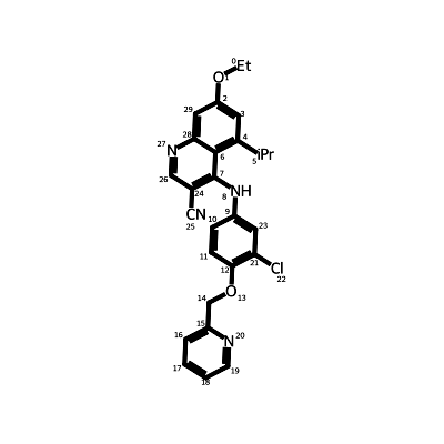 CCOc1cc(C(C)C)c2c(Nc3ccc(OCc4ccccn4)c(Cl)c3)c(C#N)cnc2c1